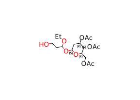 CCOC(CCO)O[C@H]1C[C@@H](OC(C)=O)[C@H](OC(C)=O)[C@@H](COC(C)=O)O1